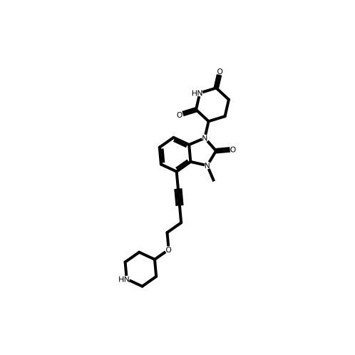 Cn1c(=O)n(C2CCC(=O)NC2=O)c2cccc(C#CCCOC3CCNCC3)c21